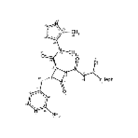 CCCCCCCC(CC)NC(=O)N1C(=O)[C@H](Cc2ccnc(N)c2)[C@H]1C(=O)N(C)c1ccnn1C